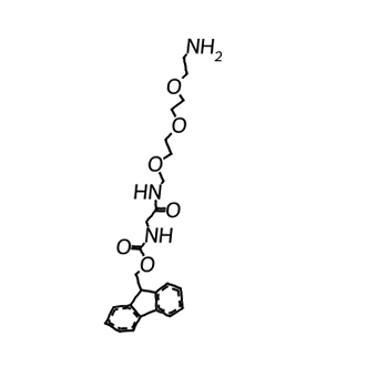 NCCOCCOCCOCNC(=O)CNC(=O)OCC1c2ccccc2-c2ccccc21